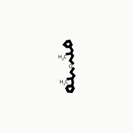 C=CC(CCCOCCCC(C=C)Cc1ccccc1)Cc1ccccc1